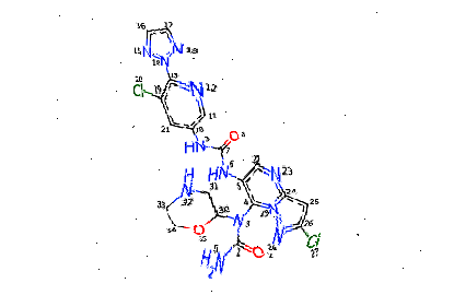 NC(=O)N(c1c(NC(=O)Nc2cnc(-n3nccn3)c(Cl)c2)cnc2cc(Cl)nn12)C1CNCCO1